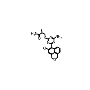 CC(CSc1nc(N)nc(-c2c(Cl)cc3c4c(cccc24)COC3)n1)C(N)=O